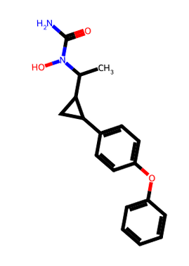 CC(C1CC1c1ccc(Oc2ccccc2)cc1)N(O)C(N)=O